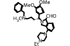 CCN1CCN(c2cccc3c2CN([C@H](CCCN(C)Cc2ccccc2)c2ccc(OC)c(OC)c2)C3C=O)CC1